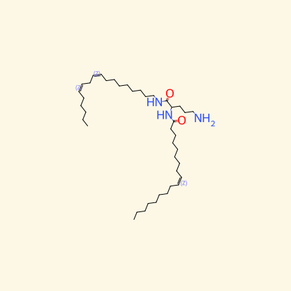 CCCCC/C=C\C/C=C\CCCCCCCCNC(=O)C(CCCN)NC(=O)CCCCCCC/C=C\CCCCCCCC